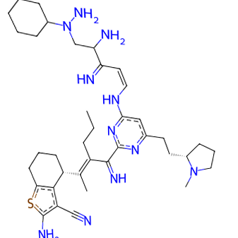 CCC/C(C(=N)c1nc(CC[C@@H]2CCCN2C)cc(N/C=C\C(=N)C(N)CN(N)C2CCCCC2)n1)=C(/C)[C@H]1CCCc2sc(N)c(C#N)c21